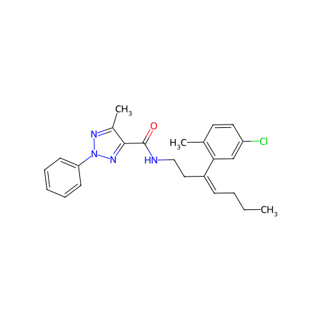 CCC/C=C(/CCNC(=O)c1nn(-c2ccccc2)nc1C)c1cc(Cl)ccc1C